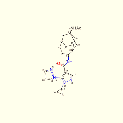 CC(=O)N[C@]12CC3CC[C@H](NC(=O)c4cnn(C5CC5)c4-n4cccn4)C(C1)C(C3)C2